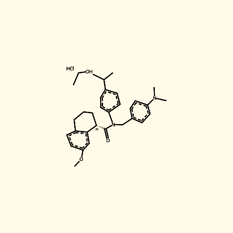 CCO.COc1ccc2c(c1)[C@@H](C(=O)N(Cc1ccc(N(C)C)cc1)c1ccc(C(C)C)cc1)CCC2.Cl